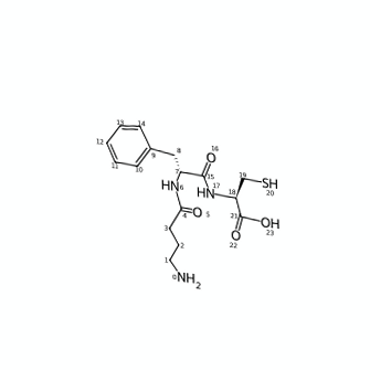 NCCCC(=O)N[C@H](Cc1ccccc1)C(=O)N[C@@H](CS)C(=O)O